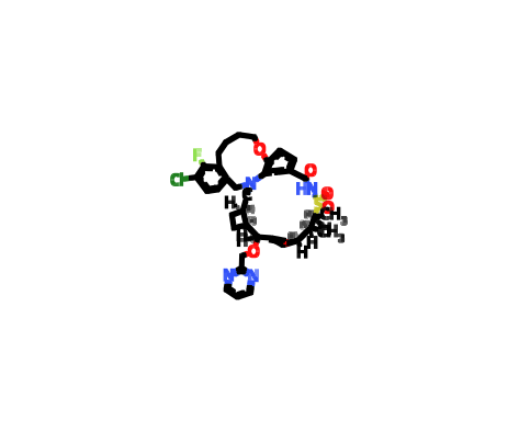 C[C@@H]1[C@@H](C)S(=O)(=O)NC(=O)c2ccc3c(c2)N(Cc2ccc(Cl)c(F)c2CCCCO3)C[C@@H]2CC[C@H]2[C@@H](OCc2ncccn2)C2=C[C@H]1C2